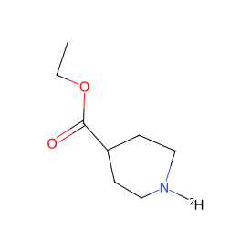 [2H]N1CCC(C(=O)OCC)CC1